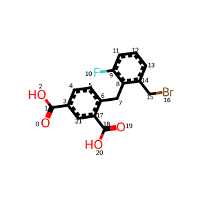 O=C(O)c1ccc(Cc2c(F)cccc2CBr)c(C(=O)O)c1